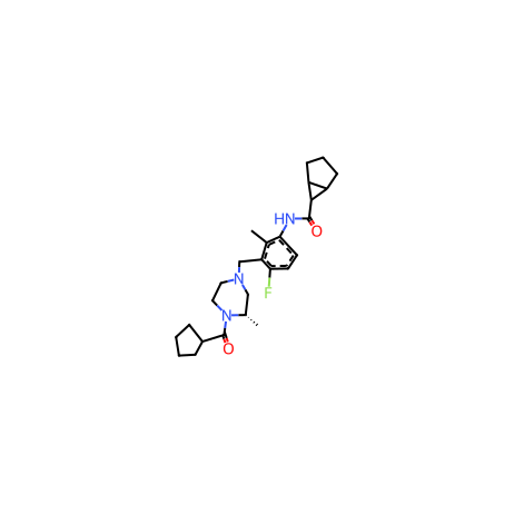 Cc1c(NC(=O)C2C3CCCC32)ccc(F)c1CN1CCN(C(=O)C2CCCC2)[C@@H](C)C1